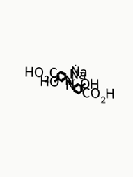 O=C(O)c1ccc(N=Nc2ccc(C(=O)O)c(O)c2)cc1O.[Na].[Na]